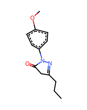 CCCC1=NN(c2ccc(OC)cc2)C(=O)C1